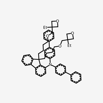 CCC1(COCCCCC2(CCCCOCC3(CC)COC3)c3ccccc3-c3cccc(N(c4ccc(-c5ccccc5)cc4)c4ccc(-c5ccccc5)cc4)c32)COC1